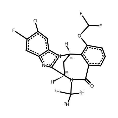 [2H]C([2H])([2H])N1C(=O)c2cccc(OC(F)F)c2[C@H]2C[C@@H]1c1nc3cc(F)c(Cl)cc3n12